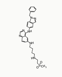 CS(=O)(=O)CCNCCCCNc1ccc2ncnc(Nc3ccc4c(cnn4Cc4ccccc4)c3)c2c1